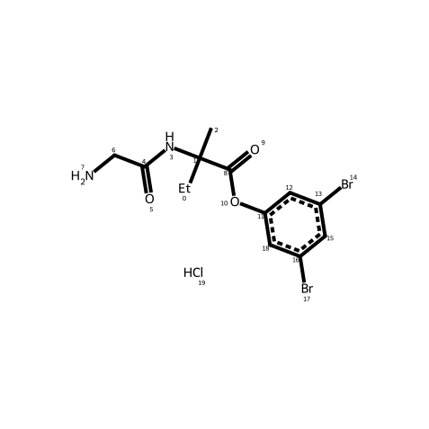 CCC(C)(NC(=O)CN)C(=O)Oc1cc(Br)cc(Br)c1.Cl